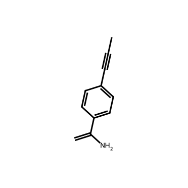 C=C(N)c1ccc(C#CC)cc1